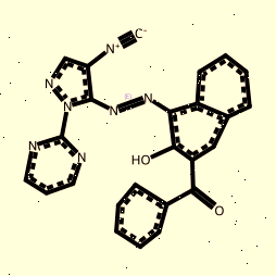 [C-]#[N+]c1cnn(-c2ncccn2)c1/N=N/c1c(O)c(C(=O)c2ccccc2)cc2ccccc12